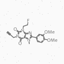 C#CCn1c(=O)c2c(nc(-c3ccc(OC)c(OC)c3)n2C)n(CCF)c1=O